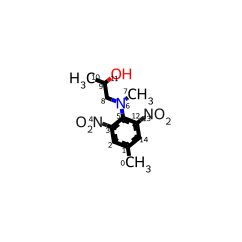 Cc1cc([N+](=O)[O-])c(N(C)CC(C)O)c([N+](=O)[O-])c1